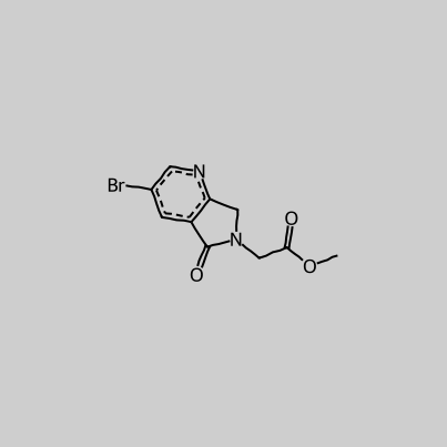 COC(=O)CN1Cc2ncc(Br)cc2C1=O